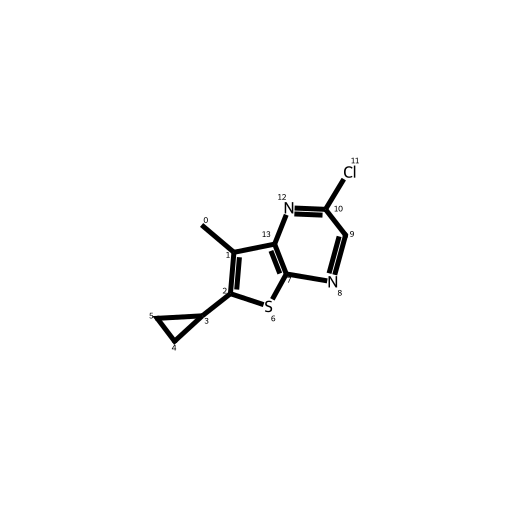 Cc1c(C2CC2)sc2ncc(Cl)nc12